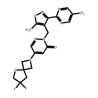 Cc1onc(-c2ncc(C(F)(F)F)cn2)c1Cn1ncc(N2CC3(C2)CC(F)(F)CO3)cc1=O